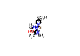 CC=NN(C(=S)N1CCC(C(=O)O)CC1)c1nn(C)c(C(F)(F)F)c1O